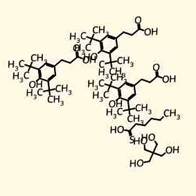 CC(C)(C)c1cc(CCC(=O)O)cc(C(C)(C)C)c1O.CC(C)(C)c1cc(CCC(=O)O)cc(C(C)(C)C)c1O.CC(C)(C)c1cc(CCC(=O)O)cc(C(C)(C)C)c1O.CCCCCC(O)=S.OCC(CO)(CO)CO